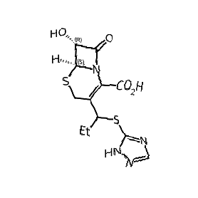 CCC(Sc1ncn[nH]1)C1=C(C(=O)O)N2C(=O)[C@@H](O)[C@@H]2SC1